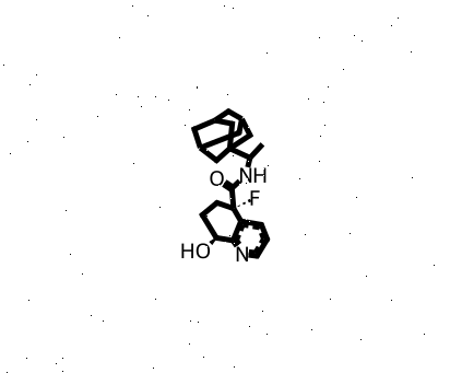 CC(NC(=O)[C@]1(F)CC[C@H](O)c2ncccc21)C12CC3CC(CC(C3)C1)C2